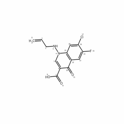 C=CCNn1cc(C(=O)O)c(=O)c2cc(F)c(Cl)cc21